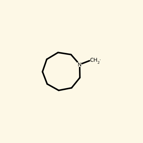 [CH2]N1CCCCCCCC1